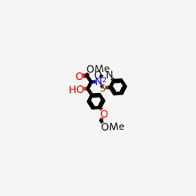 COCOc1ccc(C(O)C(C(=O)OC)N(C)Sc2ccccc2[N+](=O)[O-])cc1